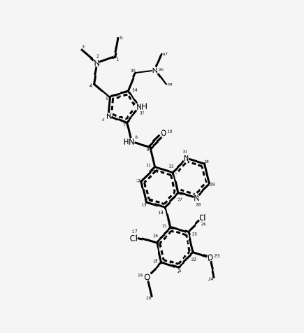 CCN(C)Cc1nc(NC(=O)c2ccc(-c3c(Cl)c(OC)cc(OC)c3Cl)c3nccnc23)[nH]c1CN(C)C